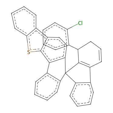 Clc1ccccc1C1CC=CC2=C1C1(c3ccccc32)c2ccccc2-c2c1ccc1c2sc2ccccc21